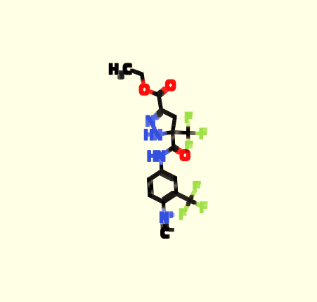 [C-]#[N+]c1ccc(NC(=O)C2(C(F)(F)F)CC(C(=O)OCC)=NN2)cc1C(F)(F)F